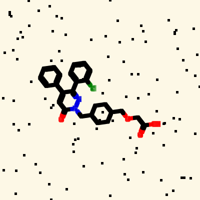 O=C(O)COCC1CCC(Cn2nc(-c3ccccc3Cl)c(-c3ccccc3)cc2=O)CC1